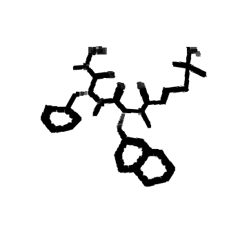 CC(=O)NN(C)C(=O)[C@@H](Cc1ccccc1)N(C)C(=O)[C@@H](Cc1ccc2ccccc2c1)N(C)C(=O)C=CCC(C)(C)N